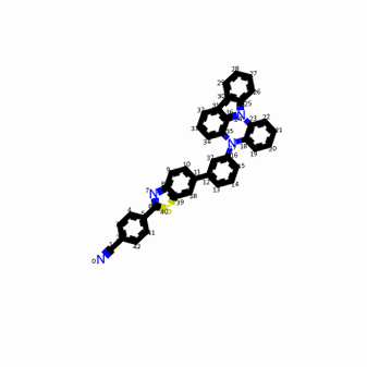 N#Cc1ccc(-c2nc3ccc(-c4cccc(N5c6ccccc6-n6c7ccccc7c7cccc5c76)c4)cc3s2)cc1